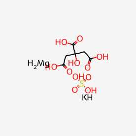 O=C(O)CC(O)(CC(=O)O)C(=O)O.O=S(=O)(O)O.[KH].[MgH2]